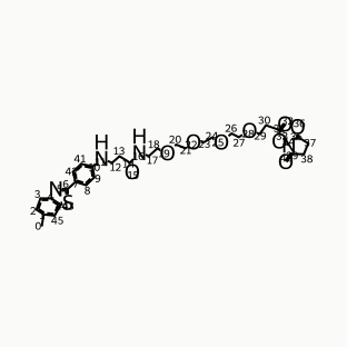 Cc1ccc2nc(-c3ccc(NCCC(=O)NCCOCCOCCOCCOCCC(=O)ON4C(=O)CCC4=O)cc3)sc2c1